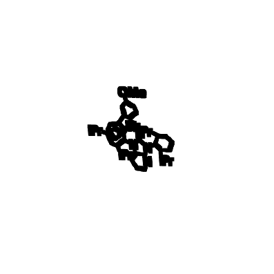 COc1ccc2c(c1)c1ccccc1n2/N=c1\n(-c2c(C(C)C)cc(C(C)C)cc2C(C)C)c2cccnc2n1-c1c(C(C)C)cccc1C(C)C